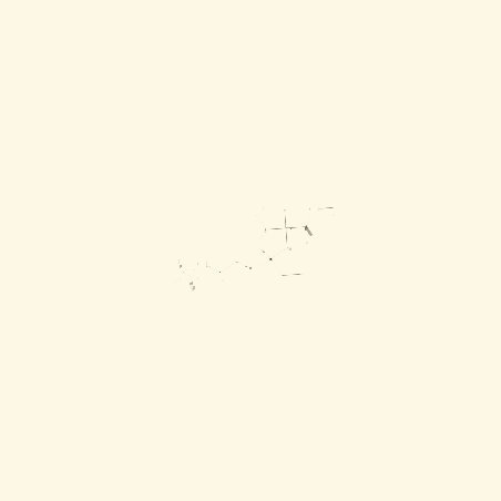 CCC(C)(CC(C)(C(=O)OC)C(C)C)SCCOS(C)(=O)=O